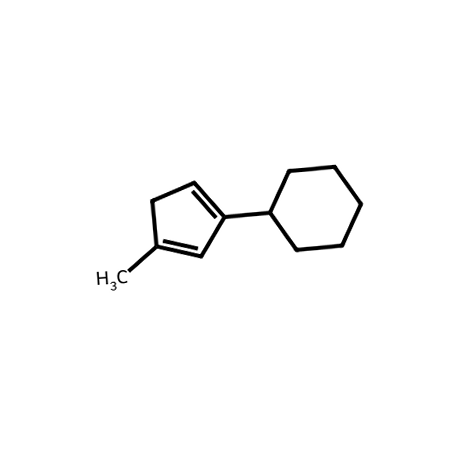 CC1=CC(C2CCCCC2)=CC1